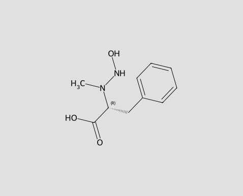 CN(NO)[C@H](Cc1ccccc1)C(=O)O